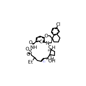 CC[C@@H]1C/C=C/[C@H](O)[C@@H]2CC[C@H]2CN2C[C@@]3(CCCc4cc(Cl)ccc43)COc3ccc(cc32)C(=O)NS(=O)(=O)C1